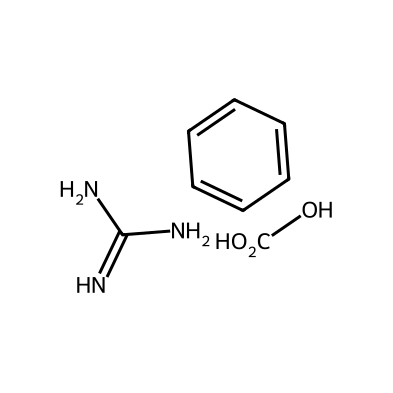 N=C(N)N.O=C(O)O.c1ccccc1